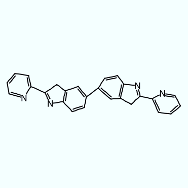 c1ccc(C2=Nc3ccc(-c4ccc5c(c4)CC(c4ccccn4)=N5)cc3C2)nc1